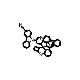 N#Cc1ccc2c(c1)c1ccccc1n2-c1cnc2c(c1)C1(c3ccccc3Sc3cccc(-n4c5ccccc5c5ccccc54)c31)c1cccnc1-2